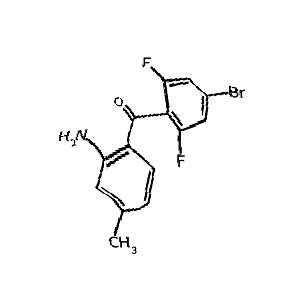 Cc1ccc(C(=O)c2c(F)cc(Br)cc2F)c(N)c1